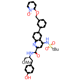 COC[C@H](Cc1ccc(O)cc1)NC(=O)c1cc(NS(=O)(=O)C(C)(C)C)c2cc(-c3cccc(COc4cccc[n+]4[O-])c3)ccc2n1